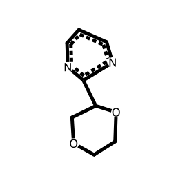 c1cnc([C]2COCCO2)nc1